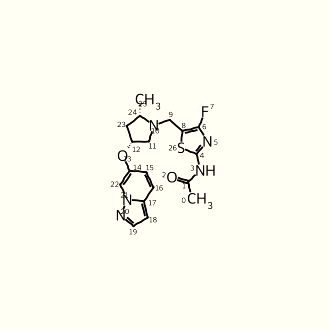 CC(=O)Nc1nc(F)c(CN2C[C@H](Oc3ccc4ccnn4c3)C[C@@H]2C)s1